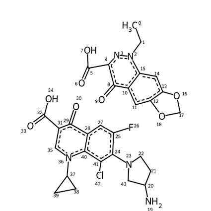 CCn1nc(C(=O)O)c(=O)c2cc3c(cc21)OCO3.NC1CCN(c2c(F)cc3c(=O)c(C(=O)O)cn(C4CC4)c3c2Cl)C1